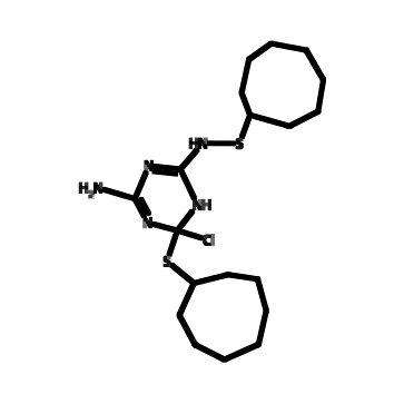 NC1=NC(Cl)(SC2CCCCCCC2)NC(NSC2CCCCCCC2)=N1